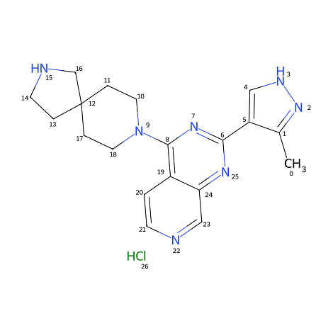 Cc1n[nH]cc1-c1nc(N2CCC3(CCNC3)CC2)c2ccncc2n1.Cl